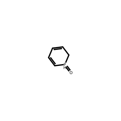 O=[PH]1C=CC=CC1